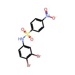 O=[N+]([O-])c1ccc(S(=O)(=O)Nc2ccc(Br)c(Br)c2)cc1